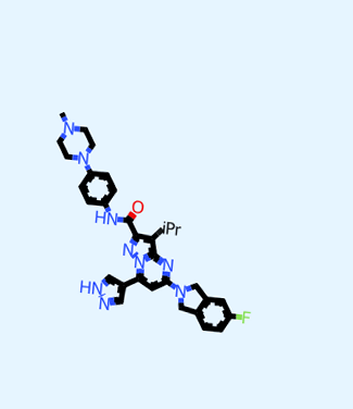 CC(C)c1c(C(=O)Nc2ccc(N3CCN(C)CC3)cc2)nn2c(-c3cn[nH]c3)cc(N3Cc4ccc(F)cc4C3)nc12